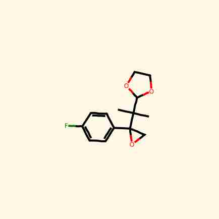 CC(C)(C1OCCO1)C1(c2ccc(F)cc2)CO1